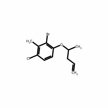 C=CCC(C)Oc1ccc(Cl)c(C)c1Br